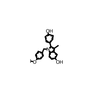 Cc1c(-c2ccc(O)cc2)n(Cc2ccc(OI)cc2)c2ccc(O)cc12